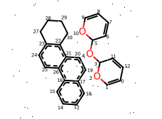 C1=COC(OC2C=CC=CO2)C=C1.c1ccc2c(c1)ccc1c3c(ccc12)CCCC3